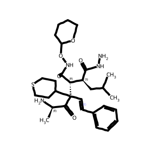 CC(C)C[C@H](C(=O)NN)[C@@H](C(=O)NOC1CCCCO1)C(/C=C/c1ccccc1)(C(=O)[C@@H](C)N)C1CCSCC1